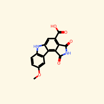 COc1ccc2[nH]c3cc(C(=O)O)c4c(c3c2c1)C(=O)NC4=O